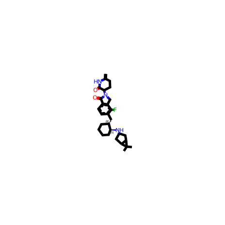 C=C1CCC(N2Cc3c(ccc(C[C@H]4CCCC[C@@H]4NC4CC5C(C4)C5(C)C)c3F)C2=O)C(=O)N1